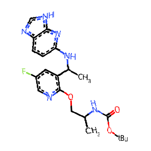 CC(COc1ncc(F)cc1C(C)Nc1ccc2nc[nH]c2n1)NC(=O)OC(C)(C)C